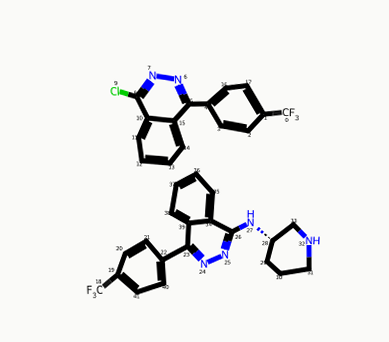 FC(F)(F)c1ccc(-c2nnc(Cl)c3ccccc23)cc1.FC(F)(F)c1ccc(-c2nnc(N[C@H]3CCCNC3)c3ccccc23)cc1